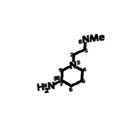 CNCCN1CCC[C@@H](N)C1